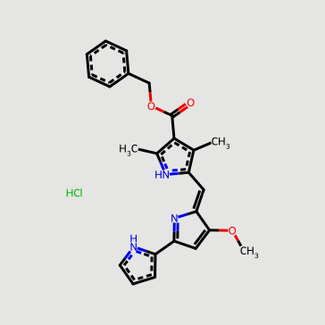 COC1=CC(c2ccc[nH]2)=N/C1=C\c1[nH]c(C)c(C(=O)OCc2ccccc2)c1C.Cl